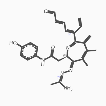 C=C/C(=C\C=CC=O)C1=N[C@H](CC(=O)Nc2ccc(O)cc2)C(=N/N=C(/C)N)C(C)=C(C)C1=C